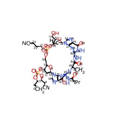 C=CCOP(=O)(OCCC#N)O[C@H]1CC2OC1COP(=O)(OCCCC#N)O[C@H]1CC(OC1CO)n1cnc3c(=O)[nH]c(nc31)NC(=O)C(C)n1c(NC(=O)C(C)C)nc3c(ncn32)c1=O